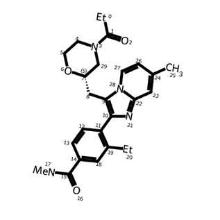 CCC(=O)N1CCO[C@@H](Cc2c(-c3ccc(C(=O)NC)cc3CC)nc3cc(C)ccn23)C1